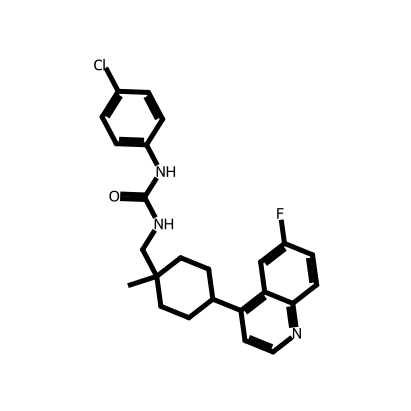 CC1(CNC(=O)Nc2ccc(Cl)cc2)CCC(c2ccnc3ccc(F)cc23)CC1